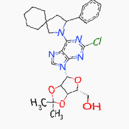 CC1(C)OC2C(O1)[C@@H](CO)O[C@H]2n1cnc2c(N3CC4(CCCCC4)CC3c3ccccc3)nc(Cl)nc21